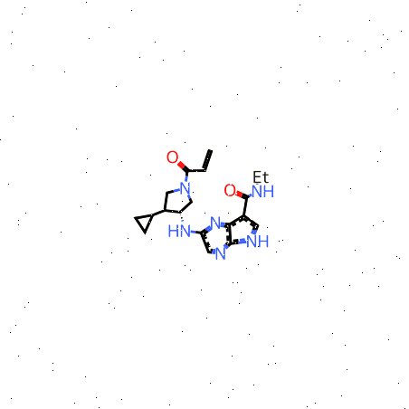 C=CC(=O)N1CC(C2CC2)[C@@H](Nc2cnc3[nH]cc(C(=O)NCC)c3n2)C1